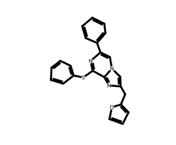 c1ccc(Sc2nc(-c3ccccc3)cn3cc(Cc4ccco4)nc23)cc1